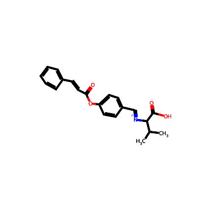 CC(C)C(/N=C/c1ccc(OC(=O)C=Cc2ccccc2)cc1)C(=O)O